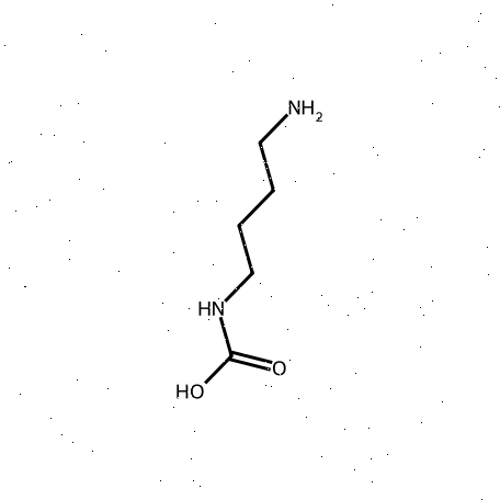 NCCCCNC(=O)O